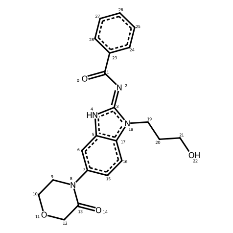 O=C(/N=c1\[nH]c2cc(N3CCOCC3=O)ccc2n1CCCO)c1ccccc1